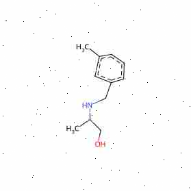 Cc1cccc(CNC(C)CO)c1